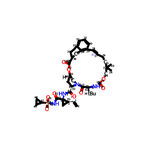 C=C[C@@H]1C[C@]1(NC(=O)[C@@H]1C[C@@H]2CN1C(=O)[C@H](C(C)(C)C)NC(=O)OCC(C)(C)CC/C=C/c1cccc3c1CC(C3)C(=O)O2)C(=O)NS(=O)(=O)C1CC1